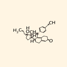 C#Cc1ccc([C@H]2C[C@@]3(C)[C@@H](CC[C@@]3(O)CC=C)[C@@H]3CCC4=CC(=O)CCC4=C32)cc1